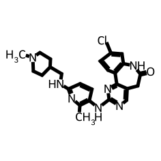 Cc1nc(NCC2CCN(C)CC2)ccc1Nc1ncc2c(n1)-c1ccc(Cl)cc1NC(=O)C2